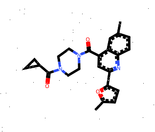 Cc1ccc2nc(-c3ccc(C)o3)cc(C(=O)N3CCN(C(=O)C4CC4)CC3)c2c1